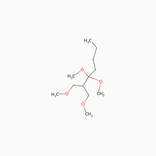 CCCCC(OC)(OC)C(COC)COC